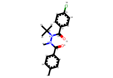 Cc1ccc(C(=O)N(C)N(C(=O)c2ccc(Cl)cc2)C(C)(C)C)cc1